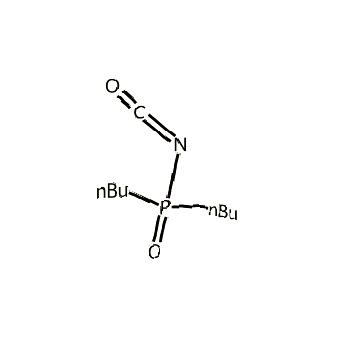 CCCCP(=O)(CCCC)N=C=O